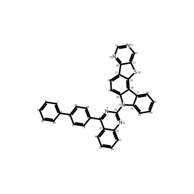 c1ccc(-c2ccc(-c3nc(-n4c5ccccc5c5c6sc7cncnc7c6ccc54)nc4ccccc34)cc2)cc1